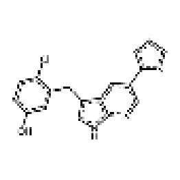 Oc1ccc(Cl)c(Cc2c[nH]c3ncc(-c4cccs4)cc23)c1